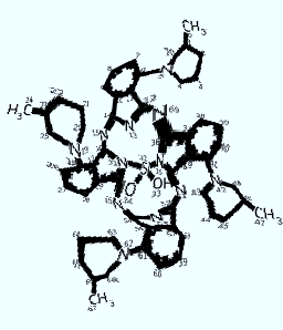 CC1CCCN(c2cccc3c2C2=NC/3=N\c3c4c(N5CCCC(C)C5)cccc4c4n3[Si](O)(O)n3/c(c5cccc(N6CCCC(C)C6)c5/c3=N/C3=NC(=N\4)/c4c3cccc4N3CCCC(C)C3)=N\2)C1